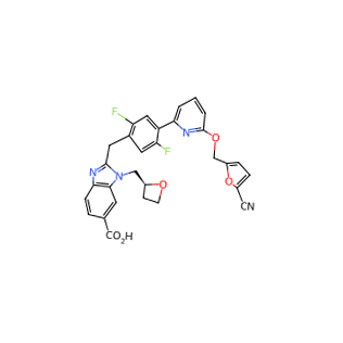 N#Cc1ccc(COc2cccc(-c3cc(F)c(Cc4nc5ccc(C(=O)O)cc5n4C[C@@H]4CCO4)cc3F)n2)o1